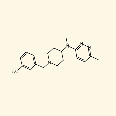 Cc1ccc(N(C)C2CCN(Cc3cccc(C(F)(F)F)c3)CC2)nn1